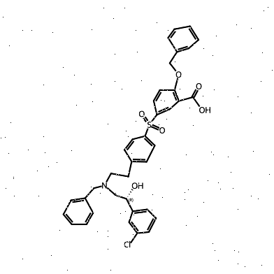 O=C(O)c1cc(S(=O)(=O)c2ccc(CCN(Cc3ccccc3)C[C@H](O)c3cccc(Cl)c3)cc2)ccc1OCc1ccccc1